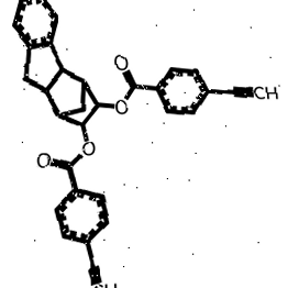 C#Cc1ccc(C(=O)OC2C3CC(C2OC(=O)c2ccc(C#C)cc2)C2c4ccccc4CC32)cc1